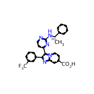 C[C@H](Nc1nccc(-c2c(-c3cccc(C(F)(F)F)c3)nc3cc(C(=O)O)ccn23)n1)c1ccccc1